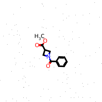 COC(=O)C1CN(C(=O)c2ccccc2)C1